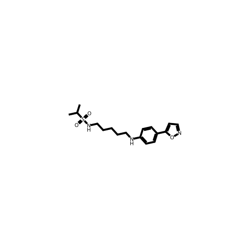 CC(C)S(=O)(=O)NCCCCCNc1ccc(-c2ccno2)cc1